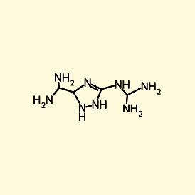 NC(N)NC1=NC(C(N)N)NN1